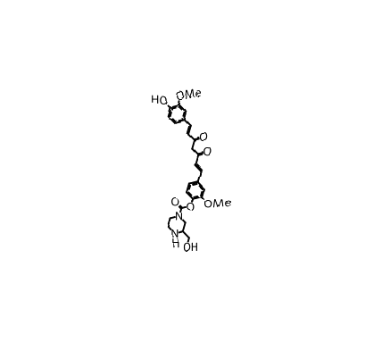 COc1cc(C=CC(=O)CC(=O)C=Cc2ccc(OC(=O)N3CCNC(CO)C3)c(OC)c2)ccc1O